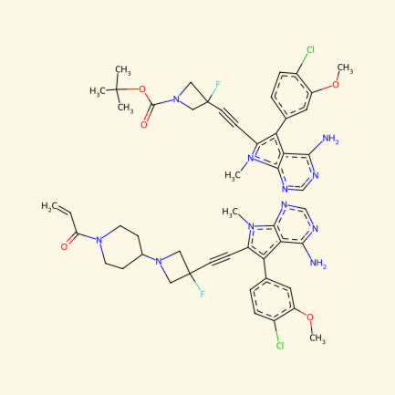 C=CC(=O)N1CCC(N2CC(F)(C#Cc3c(-c4ccc(Cl)c(OC)c4)c4c(N)ncnc4n3C)C2)CC1.COc1cc(-c2c(C#CC3(F)CN(C(=O)OC(C)(C)C)C3)n(C)c3ncnc(N)c23)ccc1Cl